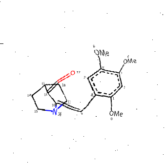 COc1cc(OC)c(OC)cc1/C=C1\C(=O)C2CCN1CC2